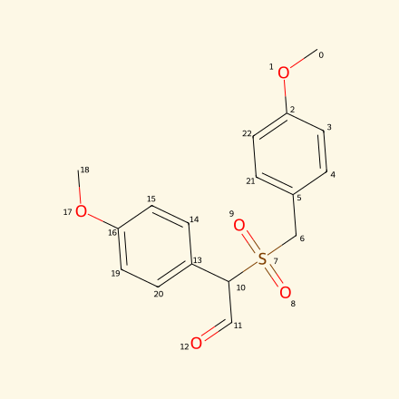 COc1ccc(CS(=O)(=O)C(C=O)c2ccc(OC)cc2)cc1